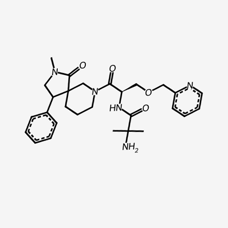 CN1CC(c2ccccc2)C2(CCCN(C(=O)[C@@H](COCc3ccccn3)NC(=O)C(C)(C)N)C2)C1=O